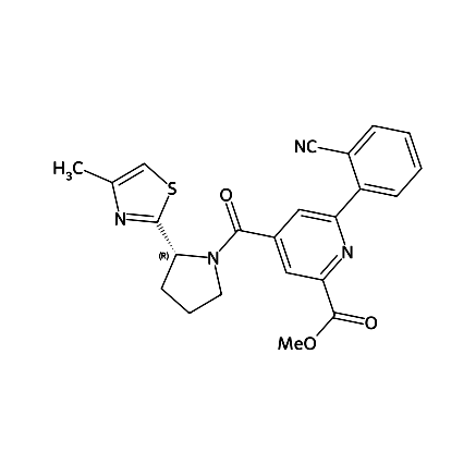 COC(=O)c1cc(C(=O)N2CCC[C@@H]2c2nc(C)cs2)cc(-c2ccccc2C#N)n1